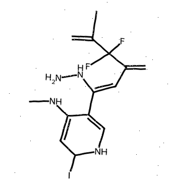 C=C(C)C(F)(F)C(=C)/C=C(\NN)C1=CNC(I)C=C1NC